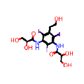 O=C(Nc1c(I)c(CCO)c(I)c(NC(=O)C(O)CO)c1I)C(O)CO